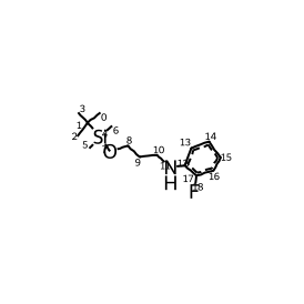 CC(C)(C)[Si](C)(C)OCCCNc1ccccc1F